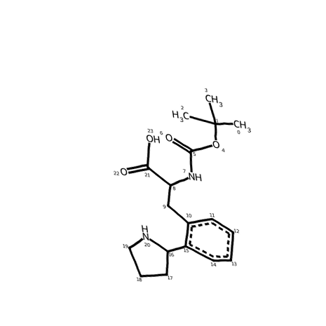 CC(C)(C)OC(=O)NC(Cc1ccccc1C1CCCN1)C(=O)O